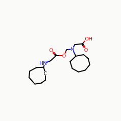 O=C(O)CN(COC(=O)CNC1CCCCCCC1)C1CCCCCCC1